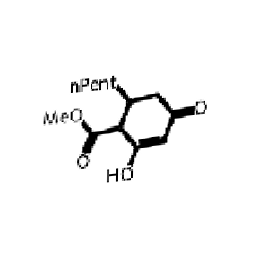 CCCCCC1CC(=O)C=C(O)C1C(=O)OC